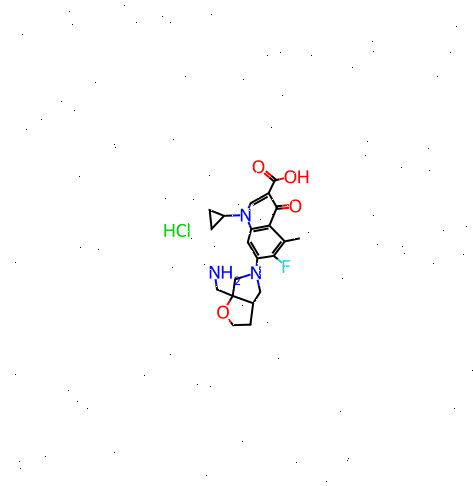 Cc1c(F)c(N2CC3CCOC3(CN)C2)cc2c1c(=O)c(C(=O)O)cn2C1CC1.Cl